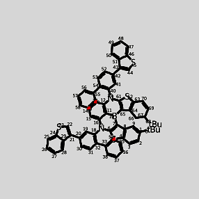 CC(C)(C)c1ccc2sc3c(c2c1)B1c2c(cccc2N3c2cc(-c3csc4ccccc34)ccc2-c2ccccc2)N(c2cc(-c3csc4ccccc34)ccc2-c2ccccc2)c2sc3c(c21)CC(C(C)(C)C)C=C3